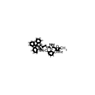 COc1cccc(OC)c1-n1c(SCc2nnn(C(c3ccccc3)(c3ccccc3)c3ccccc3)n2)nnc1-c1ccc(C)o1